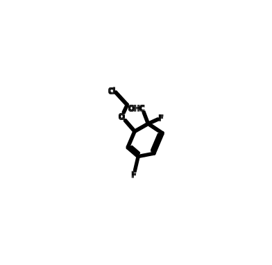 O=CC1(F)C=CC(F)=CC1OCCl